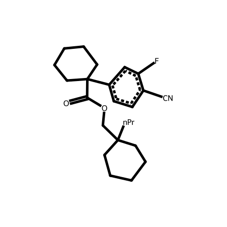 CCCC1(COC(=O)C2(c3ccc(C#N)c(F)c3)CCCCC2)CCCCC1